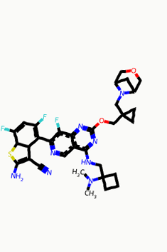 CN(C)C1(CNc2nc(OCC3(CN4C5COCC4C5)CC3)nc3c(F)c(C4=C(F)C=C(F)C5SC(N)=C(C#N)C45)ncc23)CCC1